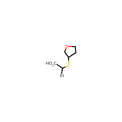 CCC(SC1CCOC1)C(=O)O